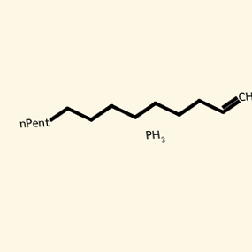 C=CCCCCCCCCCCCC.P